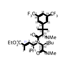 CCOC(=O)/C(C)=C/[C@H](C(C)C)N(C(=O)[C@@H](NC)C(C)(C)c1cc(C(F)(F)F)cc(C(F)(F)F)c1)[C@H](C(=O)NC)C(C)(C)C